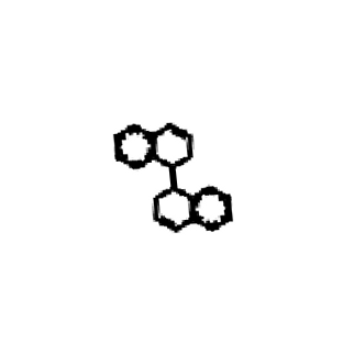 C1=Cc2ccccc2[C]([C]2CC=Cc3ccccc32)C1